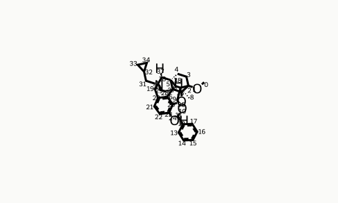 COC12CC[C@@]3(C[C@]1(C)COCc1ccccc1)[C@H]1Cc4ccc(O)c5c4[C@@]3(CCN1CC1CC1)[C@H]2O5